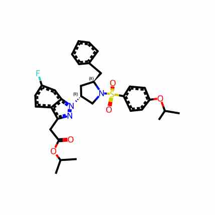 CC(C)OC(=O)Cc1nn([C@@H]2C[C@@H](Cc3ccccc3)N(S(=O)(=O)c3ccc(OC(C)C)cc3)C2)c2cc(F)ccc12